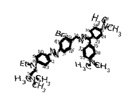 CCN(CC[N+](C)(C)C)c1ccc(N=Nc2ccc(C=NN=C(c3ccc(N(C)C)cc3)c3ccc(N(C)C)cc3)cc2)cc1.[Br-]